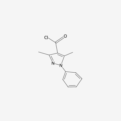 Cc1nn(-c2ccccc2)c(C)c1C(=O)Cl